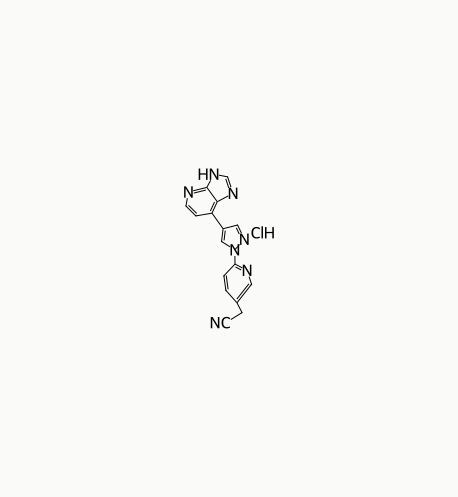 Cl.N#CCc1ccc(-n2cc(-c3ccnc4[nH]cnc34)cn2)nc1